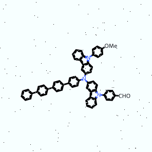 COc1ccc(-n2c3ccccc3c3cc(N(c4ccc(-c5ccc(-c6ccc(-c7ccccc7)cc6)cc5)cc4)c4ccc5c(c4)c4ccccc4n5-c4ccc(C=O)cc4)ccc32)cc1